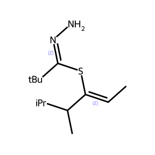 C/C=C(\S/C(=N\N)C(C)(C)C)C(C)C(C)C